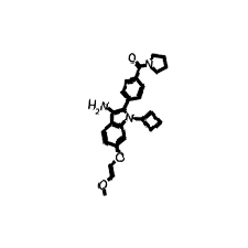 COCCOc1ccc2c(N)c(-c3ccc(C(=O)N4CCCC4)cc3)n(C3CCC3)c2c1